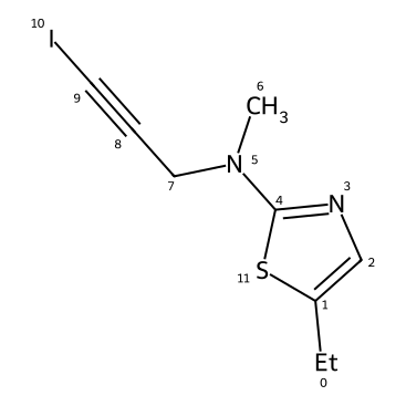 CCc1cnc(N(C)CC#CI)s1